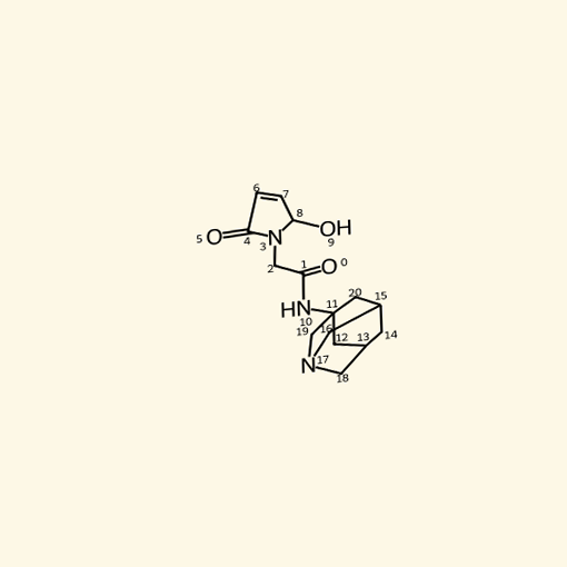 O=C(CN1C(=O)C=CC1O)NC12CC3CC(CN(C3)C1)C2